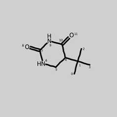 CC(C)(C)C1CNC(=O)NC1=O